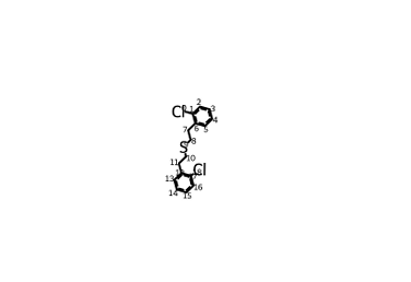 Clc1ccccc1CCSCCc1ccccc1Cl